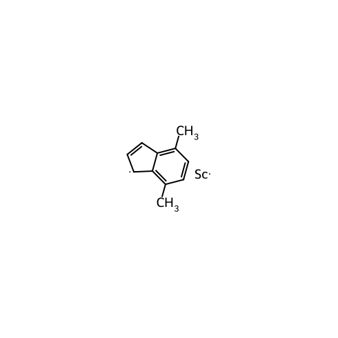 Cc1ccc(C)c2c1[CH]C=C2.[Sc]